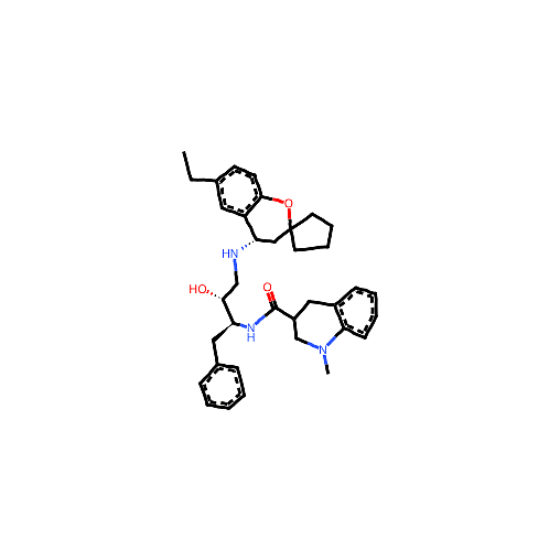 CCc1ccc2c(c1)[C@@H](NC[C@@H](O)[C@H](Cc1ccccc1)NC(=O)C1Cc3ccccc3N(C)C1)CC1(CCCC1)O2